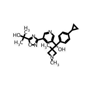 CN1CC(C)([C@](O)(c2ccc(C3CC3)cc2)c2cncc(-c3noc(C(C)(C)O)n3)c2)C1